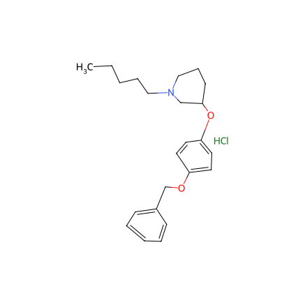 CCCCCN1CCCC(Oc2ccc(OCc3ccccc3)cc2)C1.Cl